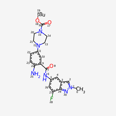 Cn1cc2cc(NC(=O)c3cc(N4CCN(C(=O)OC(C)(C)C)CC4)ccc3N)cc(F)c2n1